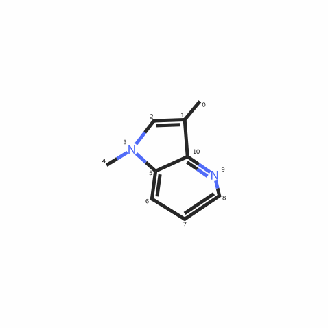 Cc1cn(C)c2cccnc12